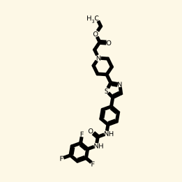 CCOC(=O)CN1CCC(c2ncc(-c3ccc(NC(=O)Nc4c(F)cc(F)cc4F)cc3)s2)CC1